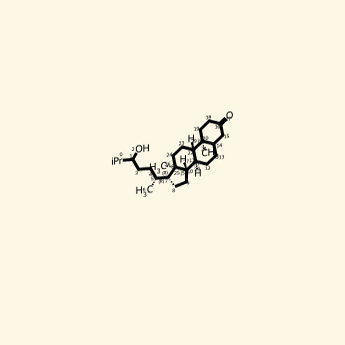 CC(C)C(O)CC[C@@H](C)[C@H]1CC[C@H]2[C@@H]3CCC4CC(=O)CC[C@]4(C)[C@H]3CC[C@]12C